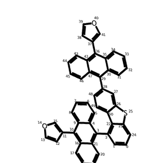 c1cc(-c2c3ccccc3c(-c3ccoc3)c3ccccc23)c2c(c1)sc1cc(-c3c4ccccc4c(-c4ccoc4)c4ccccc34)ccc12